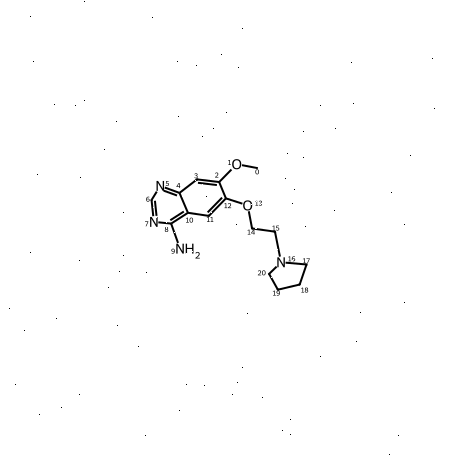 COc1cc2ncnc(N)c2cc1OCCN1CCCC1